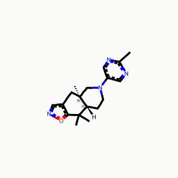 Cc1ncc(N2CC[C@@H]3C(C)(C)c4oncc4C[C@@]3(C)C2)cn1